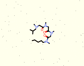 CCCCCN(C)C(=O)CN(C)C(=O)CN(C)C(=O)CN(C)CC(C)C